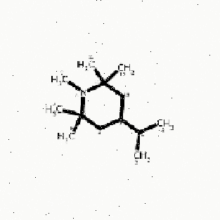 CC(C)C1CC(C)(C)N(C)C(C)(C)C1